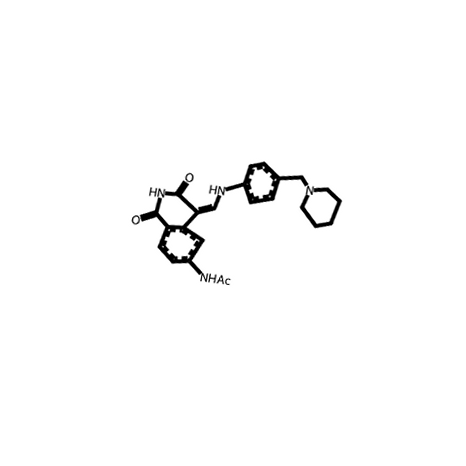 CC(=O)Nc1ccc2c(c1)/C(=C/Nc1ccc(CN3CCCCC3)cc1)C(=O)NC2=O